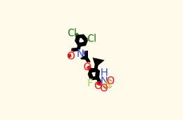 COCC(c1cc(Cl)cc(Cl)c1)N1CC(COc2cc(F)c(C(=O)NS(C)(=O)=O)cc2C2CC2)C1